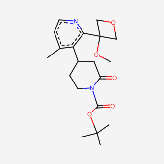 COC1(c2nccc(C)c2C2CCN(C(=O)OC(C)(C)C)C(=O)C2)COC1